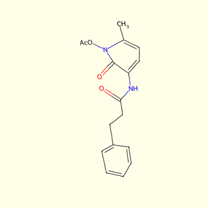 CC(=O)On1c(C)ccc(NC(=O)CCc2ccccc2)c1=O